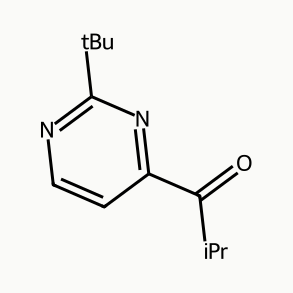 CC(C)C(=O)c1ccnc(C(C)(C)C)n1